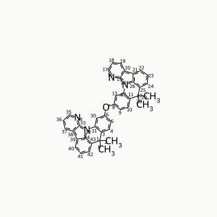 CC1(C)c2ccc(Oc3ccc4c(c3)-n3c5ncccc5c5cccc(c53)C4(C)C)cc2-n2c3ncccc3c3cccc1c32